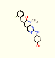 Cn1c(=O)c(Cc2ccccc2F)cc2cnc(NC3CCC(O)CC3)nc21